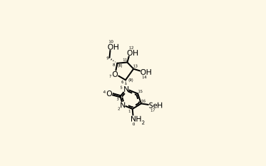 Nc1nc(=O)n([C@@H]2O[C@H](CO)C(O)C2O)cc1[SeH]